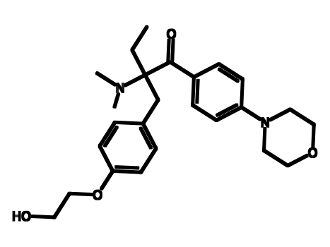 CCC(Cc1ccc(OCCO)cc1)(C(=O)c1ccc(N2CCOCC2)cc1)N(C)C